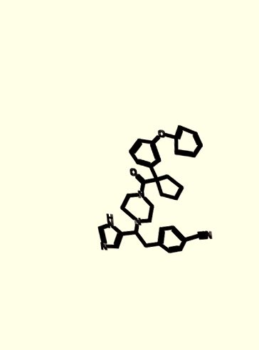 N#Cc1ccc(CC(c2cnc[nH]2)N2CCN(C(=O)C3(c4cccc(Oc5ccccc5)c4)CCCC3)CC2)cc1